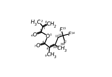 C=C(C)C(=O)OC(=O)C(C)=C(C)CC(F)(F)F